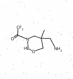 CC1(CN)COBN(C(=O)C(F)(F)F)C1